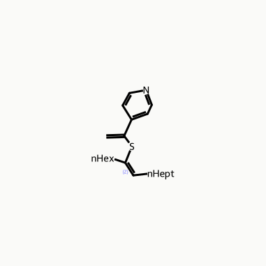 C=C(S/C(=C\CCCCCCC)CCCCCC)c1ccncc1